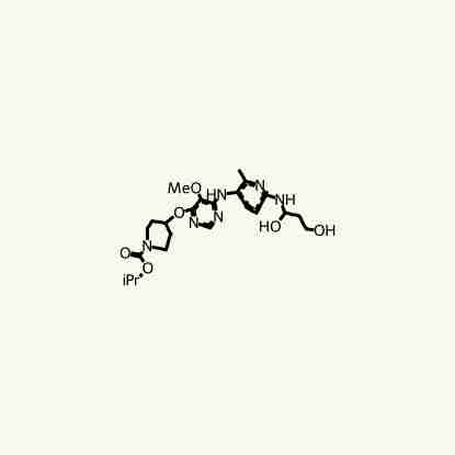 COc1c(Nc2ccc(NC(O)CCO)nc2C)ncnc1OC1CCN(C(=O)OC(C)C)CC1